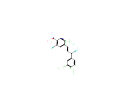 Cl.NC(=O)c1ccc(C=CC(c2cc(Cl)c(Cl)c(Cl)c2)C(F)(F)F)cc1C(F)(F)F